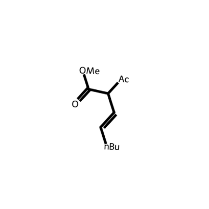 CCCCC=CC(C(C)=O)C(=O)OC